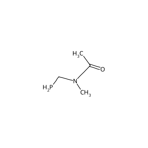 CC(=O)N(C)CP